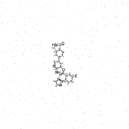 C[C@@H](Oc1cc(-c2ccc3c(c2)CNC3=O)cnc1N)c1cc(F)ccc1-n1nccn1